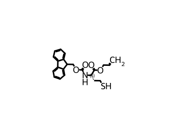 C=CCOC(=O)[C@H](CCS)NC(=O)OCC1c2ccccc2-c2ccccc21